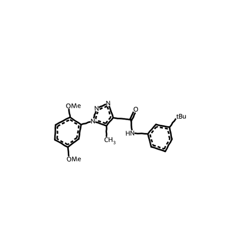 COc1ccc(OC)c(-n2nnc(C(=O)Nc3cccc(C(C)(C)C)c3)c2C)c1